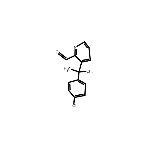 CC(C)(c1ccc(Cl)cc1)c1cccnc1C=O